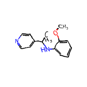 COc1ccccc1NC(C)c1ccncc1